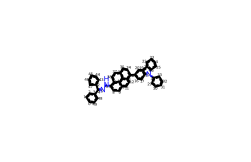 c1ccc(C(=NNc2ccc3ccc4c(-c5ccc6c(c5)c5ccccc5n6-c5ccccc5)ccc5ccc2c3c54)c2ccccc2)cc1